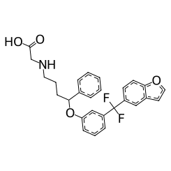 O=C(O)CNCCCC(Oc1cccc(C(F)(F)c2ccc3occc3c2)c1)c1ccccc1